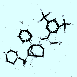 Cl.O=C([C@@H]1C[C@]2(c3ccccc3)N[C@H]1CC[C@H]2O[C@@H](CO)c1cc(C(F)(F)F)cc(C(F)(F)F)c1)N1CCOCC1